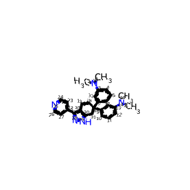 CN(C)c1cccc(C2(c3cccc(N(C)C)c3)C=Cc3c(-c4ccncc4)n[nH]c3C2)c1